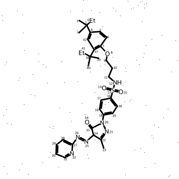 CCC(C)(C)c1ccc(OCCCNS(=O)(=O)c2ccc(N3N=C(C)C(N=Nc4ccccn4)C3=O)cc2)c(C(C)(C)CC)c1